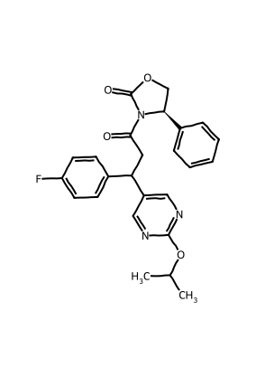 CC(C)Oc1ncc(C(CC(=O)N2C(=O)OC[C@H]2c2ccccc2)c2ccc(F)cc2)cn1